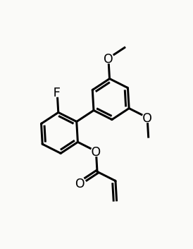 C=CC(=O)Oc1cccc(F)c1-c1cc(OC)cc(OC)c1